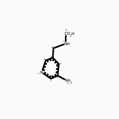 Nc1cncc(CNC(=O)O)c1